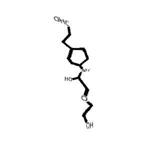 O=CCCC1CCC(NC(O)COCCO)CC1